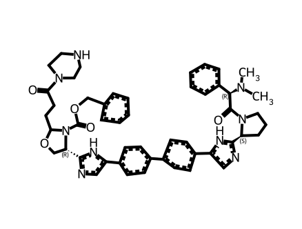 CN(C)[C@@H](C(=O)N1CCC[C@H]1c1ncc(-c2ccc(-c3ccc(-c4cnc([C@@H]5COC(CCC(=O)N6CCNCC6)N5C(=O)OCc5ccccc5)[nH]4)cc3)cc2)[nH]1)c1ccccc1